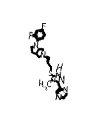 CN1C(c2cnccn2)=NNC1SCCCN1CC2CCN(c3ccc(F)cc3F)C2C1